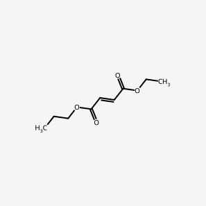 CCCOC(=O)C=CC(=O)OCC